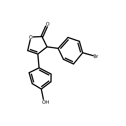 O=C1OC=C(c2ccc(O)cc2)C1c1ccc(Br)cc1